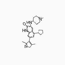 CC1=NCC(C)=C1c1cc(C2CCCC2)c2cc(NC3CCN(C)CC3)c(=O)[nH]c2c1